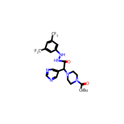 CC(C)COC(=O)N1CCN(C(C(=O)NNc2cc(C(F)(F)F)cc(C(F)(F)F)c2)c2cncnc2)CC1